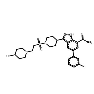 NC(=O)c1cc(-c2cccc(F)c2)cc2c(C3CCN(S(=O)(=O)CCN4CCC(O)CC4)CC3)n[nH]c12